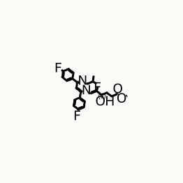 COC(=O)CC[C@H](O)C(F)=CN1C(c2ccc(F)cc2)=CC(c2ccc(F)cc2)=NC1C(C)C